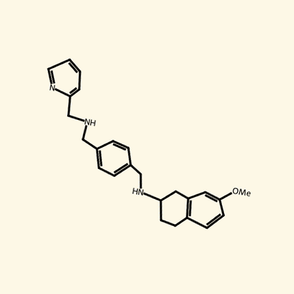 COc1ccc2c(c1)CC(NCc1ccc(CNCc3ccccn3)cc1)CC2